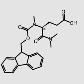 CN(C)C(=O)[C@H](CCC(=O)O)N(C)C(=O)OCC1c2ccccc2-c2ccccc21